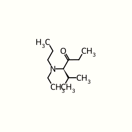 CCCN(CC)[C@@H](C(=O)CC)C(C)C